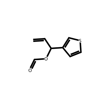 C=CC(OC=O)c1ccsc1